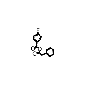 O=C(Cc1ccccc1)OC(=O)c1ccc(F)cc1